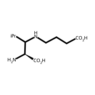 CC(C)C(NCCCC(=O)O)[C@H](N)C(=O)O